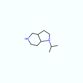 CC(C)N1CCC2CNCCC21